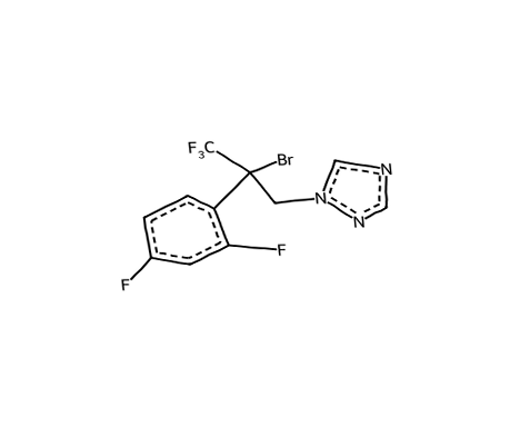 Fc1ccc(C(Br)(Cn2cncn2)C(F)(F)F)c(F)c1